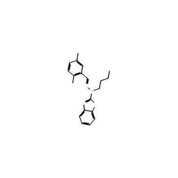 CCCCN(/N=C/c1cc(C)ccc1C)c1nc2ccccc2s1